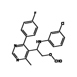 Cc1ncnc(-c2ccc(F)cc2)c1C(COC=O)Nc1cccc(Cl)c1